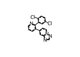 Clc1ccc(Cl)c(-c2ncccc2-c2ccn3ncnc3c2)c1